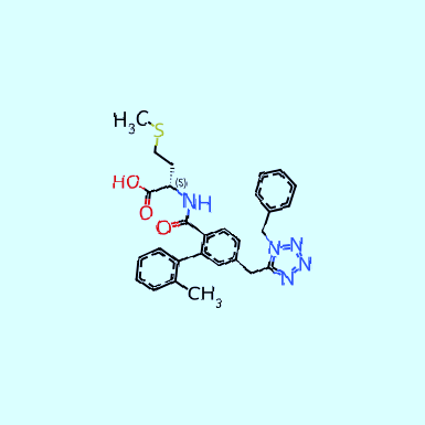 CSCC[C@H](NC(=O)c1ccc(Cc2nnnn2Cc2ccccc2)cc1-c1ccccc1C)C(=O)O